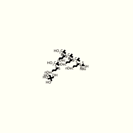 CCCCCCCCCCCCC(=S)SC(C)(C)C(=O)O.CCCCCCCCCCCCC(=S)SC(C)(C)C(=O)O.CCCCCCCCCCCCC(=S)SC(C)(C)C(=O)O.CCCCCCCCCCCCC(=S)SC(C)(C)C(=O)O.CCCCSC(=S)S.OCC(CO)(CO)CO